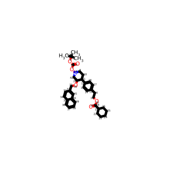 CC(C)(C)OC(=O)ON1CCC(c2ccc(CCOC(=O)C3CCCCC3)cc2)C(OCc2ccc3ccccc3c2)C1